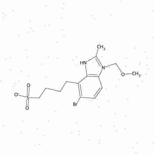 COC[n+]1c(C)[nH]c2c(CCCCS(=O)(=O)[O-])c(Br)ccc21